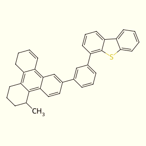 CC1CCCc2c3c(c4cc(-c5cccc(-c6cccc7c6sc6ccccc67)c5)ccc4c21)C=CCC3